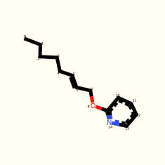 CCCCCC=CCOc1ccccn1